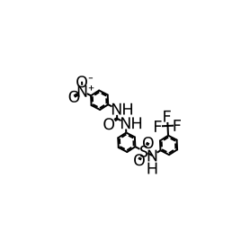 O=C(Nc1ccc([N+](=O)[O-])cc1)Nc1cccc(S(=O)(=O)Nc2cccc(C(F)(F)F)c2)c1